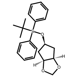 CC(C)(C)[Si](O[C@@H]1C[C@@H]2OCO[C@@H]2C1)(c1ccccc1)c1ccccc1